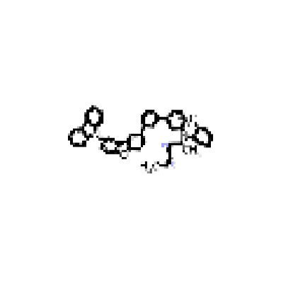 C=C(/C=C\C=C/C)N(c1cccc(-c2cccc(-c3ccc4oc5ccc(-n6c7ccccc7c7ccccc76)cc5c4c3)c2)c1)c1ccccc1C